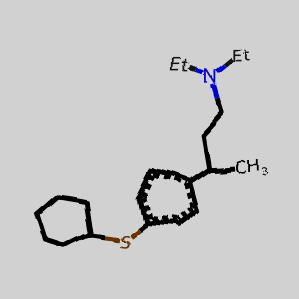 CCN(CC)CCC(C)c1ccc(SC2CCCCC2)cc1